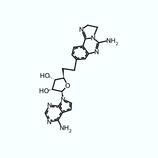 NC1=Nc2cc(CC[C@H]3O[C@@H](n4ccc5c(N)ncnc54)[C@H](O)[C@@H]3O)ccc2C2=NCCN12